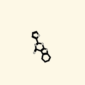 O=c1nc(-c2ccco2)oc2sc3c(c12)CCCC3